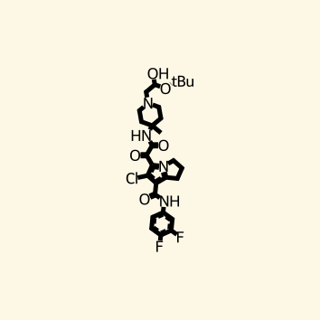 CC1(NC(=O)C(=O)c2c(Cl)c(C(=O)Nc3ccc(F)c(F)c3)c3n2CCC3)CCN(CC(O)OC(C)(C)C)CC1